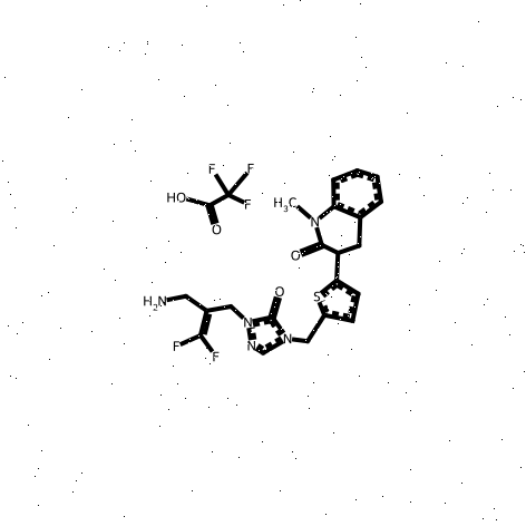 CN1C(=O)C(c2ccc(Cn3cnn(CC(CN)=C(F)F)c3=O)s2)Cc2ccccc21.O=C(O)C(F)(F)F